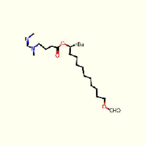 CCCCC(CCCCCCCCCCOC=O)OC(=O)CCCN(C)/C=N\C